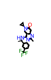 Cc1nc(N[C@H](C)c2cccc(C(F)(F)F)c2)c2cn(C3CC3)c(=O)cc2n1